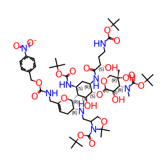 CN(C(=O)OC(C)(C)C)[C@@H]1[C@@H](O)[C@@H](O[C@H]2[C@H](NC(=O)[C@@H](O)CCNC(=O)OC(C)(C)C)C[C@H](NC(=O)OC(C)(C)C)C([C@H]3OC(CNC(=O)OCc4ccc([N+](=O)[O-])cc4)=CC[C@H]3NCC3COC(C)(C)N3C(=O)OC(C)(C)C)[C@@H]2O)OC[C@]1(C)O